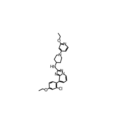 CCOc1ccc(-c2cccn3nc(NC4CCN(c5ccnc(OCC)c5)CC4)nc23)c(Cl)c1